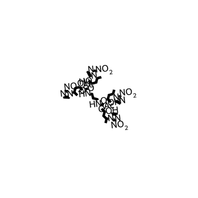 CC(=O)C(NCCCNC(OC(O)CC(C)n1ccnc1[N+](=O)[O-])(OC(O)CC(C)n1ccnc1[N+](=O)[O-])C(C)=O)(OC(O)CC(C)n1ccnc1[N+](=O)[O-])OC(O)CC(C)n1ccnc1[N+](=O)[O-]